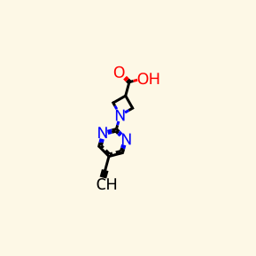 C#Cc1cnc(N2CC(C(=O)O)C2)nc1